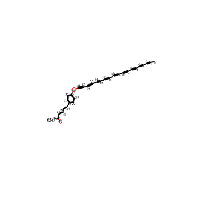 CC#CC#CC#CC#CC#CC#CC#CC#CC#COc1ccc(/C=C/C=C/C(=O)C(C)(C)C)cc1